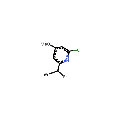 CCCC(CC)c1cc(OC)cc(Cl)n1